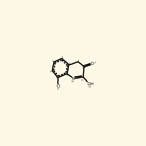 O=C1Cc2cccc(Cl)c2N=C1O